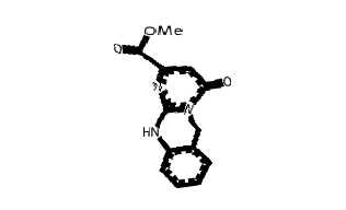 COC(=O)c1cc(=O)n2c(n1)Nc1ccccc1C2